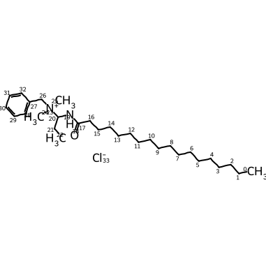 CCCCCCCCCCCCCCCCCC(=O)NC(CC)[N+](C)(C)Cc1ccccc1.[Cl-]